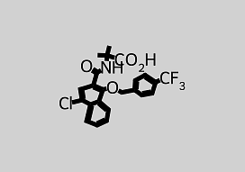 CC(C)(NC(=O)c1cc(Cl)c2ccccc2c1OCc1ccc(C(F)(F)F)cc1)C(=O)O